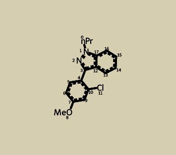 CCCn1nc(-c2ccc(OC)cc2Cl)c2ccccc21